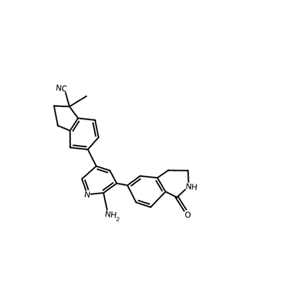 CC1(C#N)CCc2cc(-c3cnc(N)c(-c4ccc5c(c4)CCNC5=O)c3)ccc21